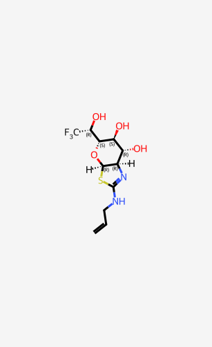 C=CCNC1=N[C@@H]2[C@@H](O)[C@H](O)[C@@H]([C@@H](O)C(F)(F)F)O[C@@H]2S1